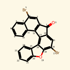 O=C1c2cc(Br)c3ccccc3c2-c2c1cc(Br)c1oc3ccccc3c21